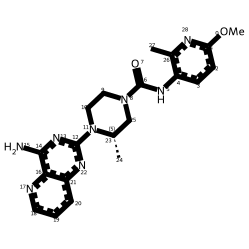 COc1ccc(NC(=O)N2CCN(c3nc(N)c4ncccc4n3)[C@@H](C)C2)c(C)n1